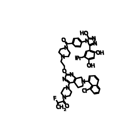 C=C(F)C(=O)N1CCN(c2nc(OCCN3CCN(C(=O)c4ccc(-n5c(O)nnc5-c5cc(C(C)C)c(O)cc5O)cc4)CC3)nc3c2CCN(c2cccc4cccc(Cl)c24)C3)CC1